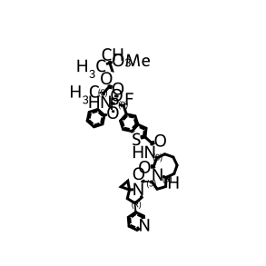 COC(C)(C)COC(=O)[C@H](C)NP(=O)(Oc1ccccc1)[C@@H](F)c1ccc2sc(C(=O)N[C@H]3CCCC[C@H]4CC[C@@H](C(=O)N5C[C@@H](c6cccnc6)CC56CC6)N4C3=O)cc2c1